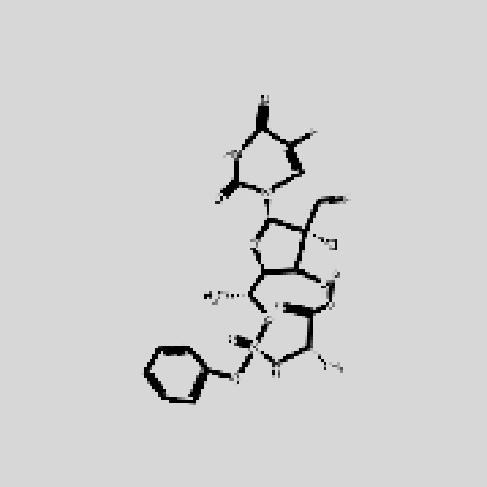 CC(C)OC(=O)[C@H](C)N[P@](=O)(Oc1ccccc1)O[C@H](C)[C@H]1O[C@@H](n2cc(F)c(=O)[nH]c2=O)[C@@](Cl)(CF)C1O